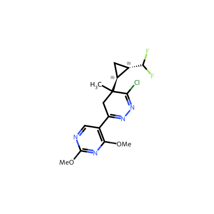 COc1ncc(C2=NN=C(Cl)C(C)([C@H]3C[C@@H]3C(F)F)C2)c(OC)n1